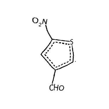 O=Cc1[c]sc([N+](=O)[O-])c1